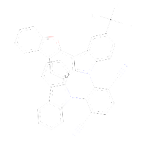 CC(C)(C)c1ccc2c(c1)c1c3oc4ccccc4c3ccc1n2-c1c(C#N)ccc(C#N)c1-n1c2ccccc2c2ccccc21